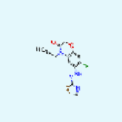 C#CCN1C(=O)COc2cc(F)c(NN=C3N=CCS3)cc21